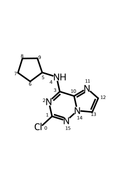 Clc1nc(NC2CCCC2)c2nccn2n1